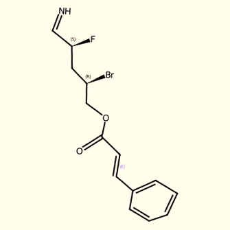 N=C[C@@H](F)C[C@@H](Br)COC(=O)/C=C/c1ccccc1